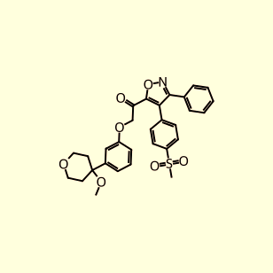 COC1(c2cccc(OCC(=O)c3onc(-c4ccccc4)c3-c3ccc(S(C)(=O)=O)cc3)c2)CCOCC1